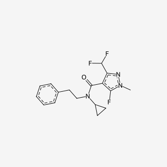 Cn1nc(C(F)F)c(C(=O)N(CCc2ccccc2)C2CC2)c1F